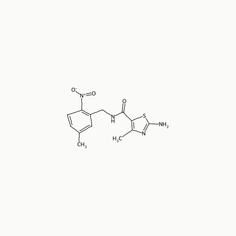 Cc1ccc([N+](=O)[O-])c(CNC(=O)c2sc(N)nc2C)c1